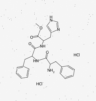 COC(=O)C(Cc1c[nH]cn1)NC(=O)C(Cc1ccccc1)NC(=O)C(N)Cc1ccccc1.Cl.Cl